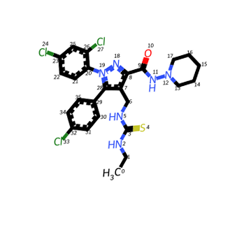 CCNC(=S)NCc1c(C(=O)NN2CCCCC2)nn(-c2ccc(Cl)cc2Cl)c1-c1ccc(Cl)cc1